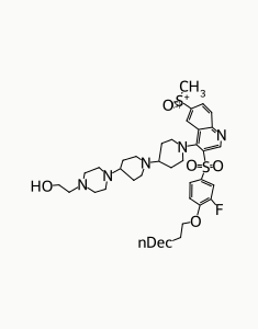 CCCCCCCCCCCCOc1ccc(S(=O)(=O)c2cnc3ccc([S@@+](C)[O-])cc3c2N2CCC(N3CCC(N4CCN(CCO)CC4)CC3)CC2)cc1F